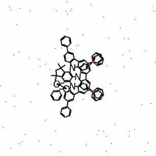 CC1(C)CC(C)(C)c2c1c(-n1c3ccc(-c4ccccc4)cc3c3cc(-c4ccccc4)ccc31)c(-n1c3ccc(-c4ccccc4)cc3c3cc(-c4ccccc4)ccc31)c(-n1c3ccc(-c4ccccc4)cc3c3cc(-c4ccccc4)ccc31)c2S(=O)(=O)c1ccccc1